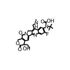 CC[C@@]1(O)C(=O)OCc2c1cc1n(c2=O)Cc2c-1nc1cc(F)c(N(C(=O)O)C(C)(C)C)cc1c2CNC